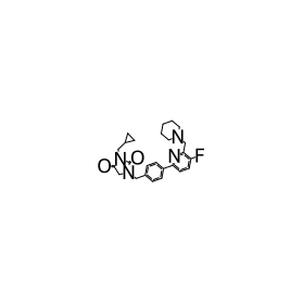 O=C1CN(Cc2ccc(-c3ccc(F)c(CN4CCCCC4)n3)cc2)C(=O)N1CC1CC1